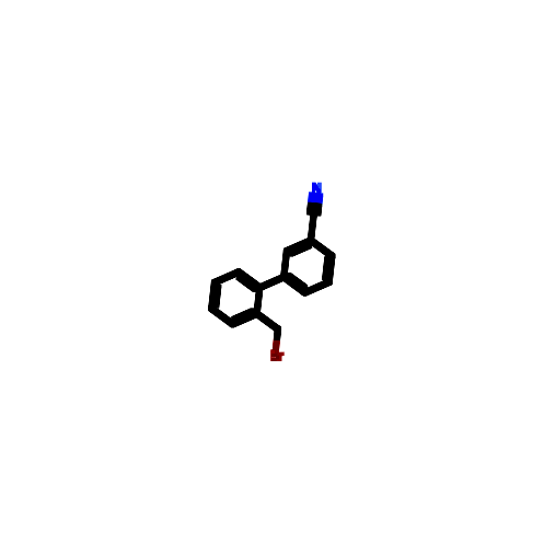 N#Cc1cccc(-c2ccccc2CBr)c1